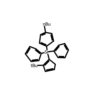 CCCCc1ccc([Si](C2=C(C(C)(C)C)C=CC2)(c2ccccc2)c2ccccc2)cc1